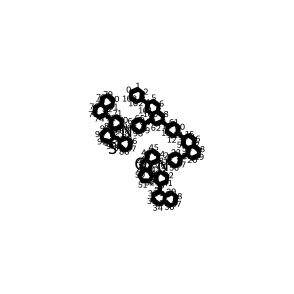 c1ccc(-c2ccc3cc(-c4ccc(-c5ccc6cccc(-c7ccc(N(c8ccc(-c9cccc%10ccccc9%10)cc8)c8cccc9oc%10ccccc%10c89)cc7)c6c5)cc4)cc(-c4ccc(N(c5ccc(-c6cccc7ccccc67)cc5)c5cccc6sc7ccccc7c56)cc4)c3c2)cc1